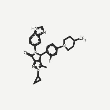 Cc1c2c(nn1C1CC1)C(=O)N(c1ccc3[nH]cnc3c1)C2c1ccc(N2CCC(C(F)(F)F)CC2)cc1F